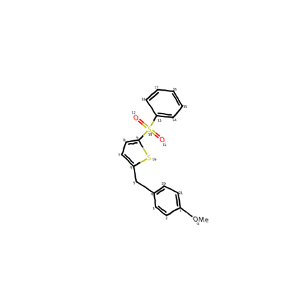 COc1ccc(Cc2ccc(S(=O)(=O)c3ccccc3)s2)cc1